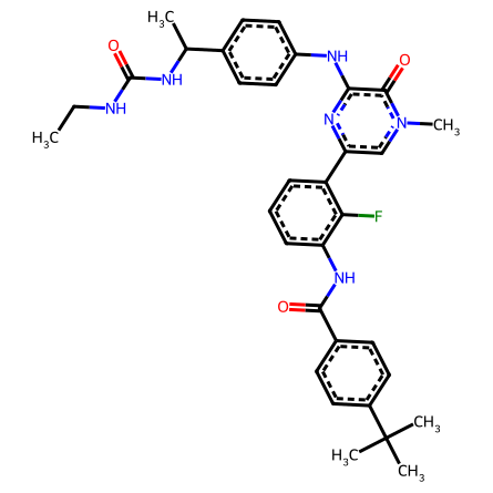 CCNC(=O)NC(C)c1ccc(Nc2nc(-c3cccc(NC(=O)c4ccc(C(C)(C)C)cc4)c3F)cn(C)c2=O)cc1